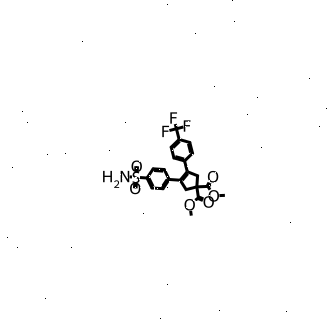 COC(=O)C1(C(=O)OC)CC(c2ccc(C(F)(F)F)cc2)=C(c2ccc(S(N)(=O)=O)cc2)C1